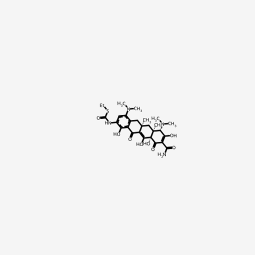 CCSC(=O)Nc1cc(N(C)C)c2c(c1O)C(=O)C1=C(O)[C@]3(O)C(=O)C(C(N)=O)=C(O)[C@@H](N(C)C)[C@]3(C)C[C@]1(C)C2